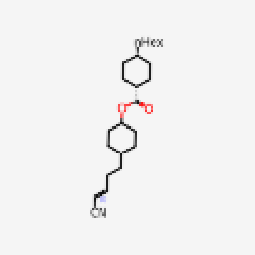 CCCCCC[C@H]1CC[C@H](C(=O)OC2CCC(CC/C=C/C#N)CC2)CC1